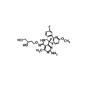 COc1cccc(-c2cc(F)ccc2[C@H]2N/C(=N\OCCC(O)CO)c3c(C)nc(N)nc3C2(F)F)n1